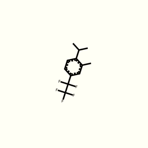 Cc1cc(C(F)(F)C(F)(F)F)ccc1C(C)C